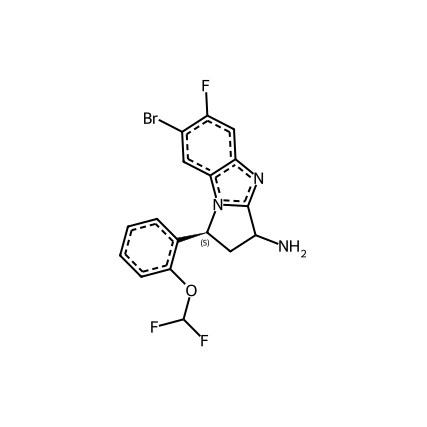 NC1C[C@@H](c2ccccc2OC(F)F)n2c1nc1cc(F)c(Br)cc12